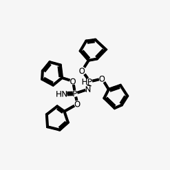 N=P(N=[PH](Oc1ccccc1)Oc1ccccc1)(OC1=CCCC=C1)Oc1ccccc1